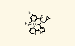 Cc1cc(Br)cc(C(=O)N(CC2CC2)C(C)c2ncnn2-c2ncccn2)c1